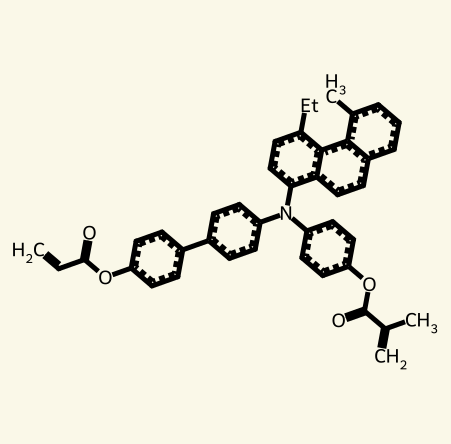 C=CC(=O)Oc1ccc(-c2ccc(N(c3ccc(OC(=O)C(=C)C)cc3)c3ccc(CC)c4c3ccc3cccc(C)c34)cc2)cc1